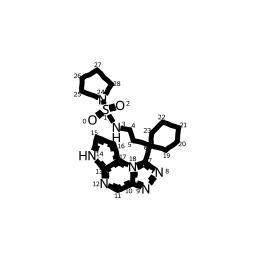 O=S(=O)(NCCC1(c2nnc3cnc4[nH]ccc4n23)CCCCC1)N1CCCC1